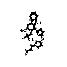 C[C@@H]1Cc2c([nH]c3ccccc23)[C@@H](c2ccc(O[C@H]3CCN(CCCF)C3)s2)N1CC(C)(C)I